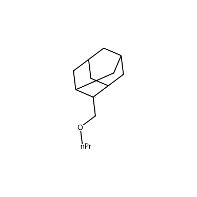 CCCOC[C]1C2CC3CC(C2)CC1C3